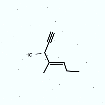 C#C[C@@H](O)C(C)=CCC